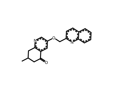 CC1CC(=O)c2cc(OCc3ccc4ccccc4n3)cnc2C1